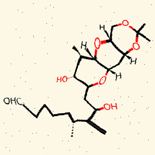 C=C(C(O)CC1O[C@H]2C[C@H]3OC(C)(C)OC[C@H]3O[C@H]2[C@H](C)[C@H]1O)[C@H](C)CCCCC=O